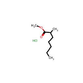 CCCCCC(C)C(=O)OC.Cl